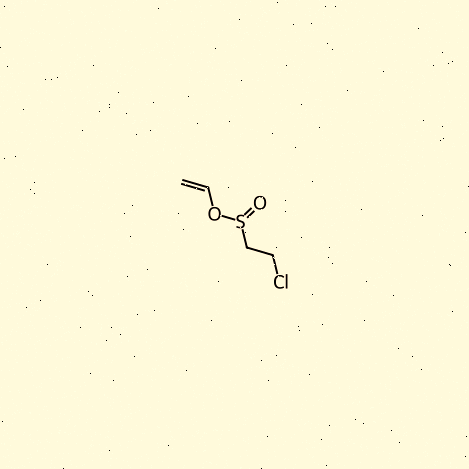 C=COS(=O)CCCl